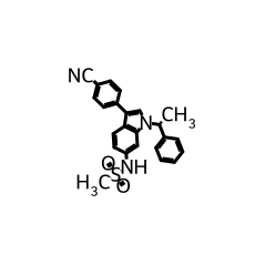 C[C@@H](c1ccccc1)n1cc(-c2ccc(C#N)cc2)c2ccc(NS(C)(=O)=O)cc21